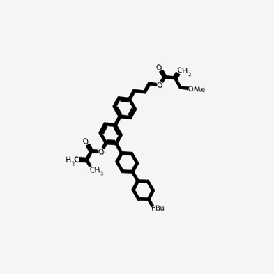 C=C(C)C(=O)Oc1ccc(-c2ccc(CCCOC(=O)C(=C)COC)cc2)cc1C1CCC(C2CCC(CCCC)CC2)CC1